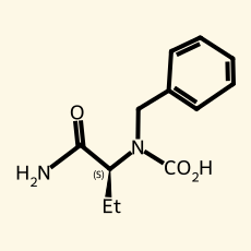 CC[C@@H](C(N)=O)N(Cc1ccccc1)C(=O)O